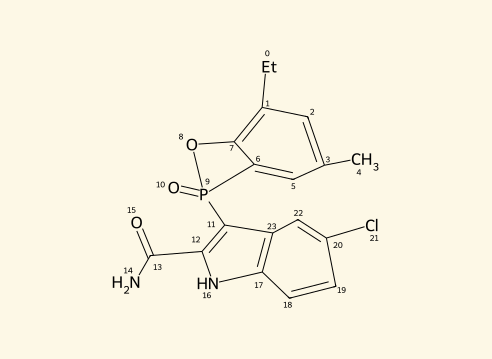 CCc1cc(C)cc2c1OP2(=O)c1c(C(N)=O)[nH]c2ccc(Cl)cc12